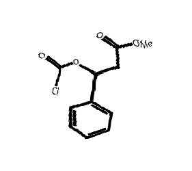 COC(=O)CC(OC(=O)Cl)c1ccccc1